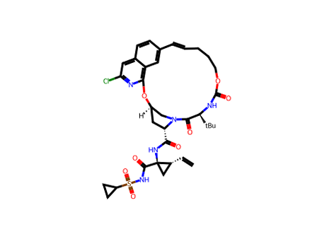 C=C[C@@H]1C[C@]1(NC(=O)[C@@H]1C[C@@H]2CN1C(=O)[C@H](C(C)(C)C)NC(=O)OCCC/C=C/c1ccc3cc(Cl)nc(c3c1)O2)C(=O)NS(=O)(=O)C1CC1